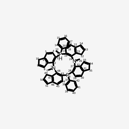 CN1c2c(ccc3c2C=CC3)[PH](C)(c2ccccc2)c2ccc3c(c2N(C)c2c(ccc4c2C=CC4)P(c2ccccc2)c2ccc4c(c21)CC=C4)CC=C3